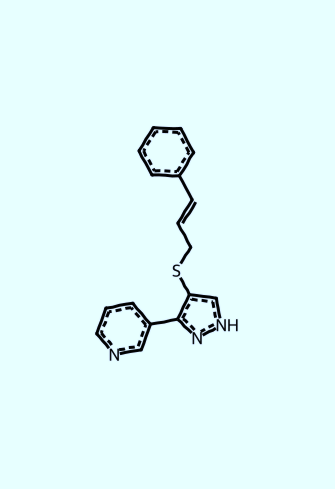 C(=Cc1ccccc1)CSc1c[nH]nc1-c1cccnc1